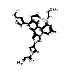 C=CC(=O)N1CC(n2cc(-c3nc(-c4cnn(CF)c4)c4ccsc4c3-c3ccc(F)cc3OCCOC)cn2)C1